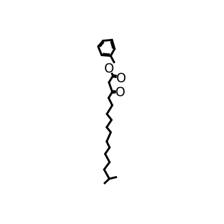 CC(C)CCCCCCCCCCCC(=O)CC(=O)OCc1ccccc1